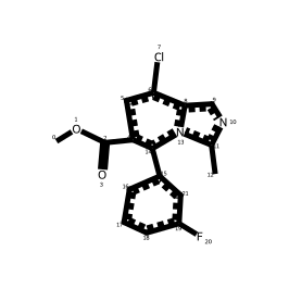 COC(=O)c1cc(Cl)c2cnc(C)n2c1-c1cccc(F)c1